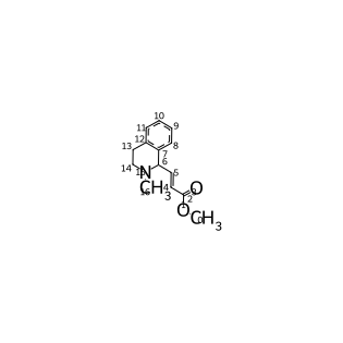 COC(=O)C=CC1c2ccccc2CCN1C